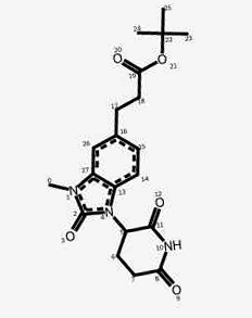 Cn1c(=O)n(C2CCC(=O)NC2=O)c2ccc(CCC(=O)OC(C)(C)C)cc21